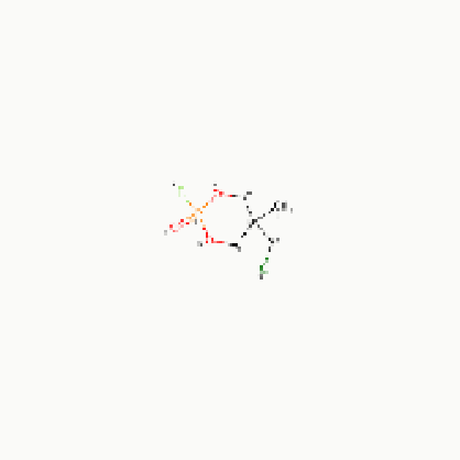 CC1(CCl)COP(=O)(F)OC1